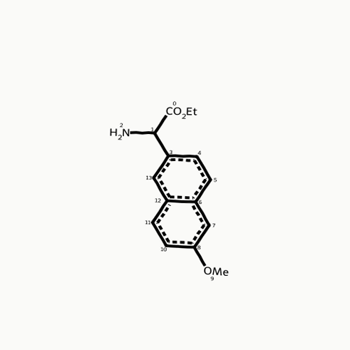 CCOC(=O)C(N)c1ccc2cc(OC)ccc2c1